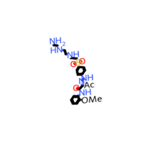 COc1ccccc1NC(=O)/C(=N/Nc1ccc(S(=O)(=O)CCNCCNCCN)cc1)C(C)=O